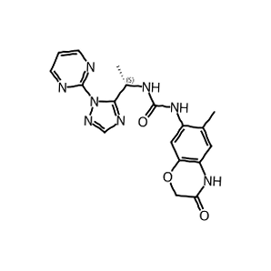 Cc1cc2c(cc1NC(=O)N[C@@H](C)c1ncnn1-c1ncccn1)OCC(=O)N2